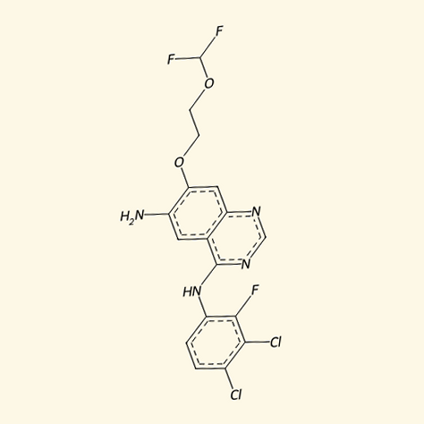 Nc1cc2c(Nc3ccc(Cl)c(Cl)c3F)ncnc2cc1OCCOC(F)F